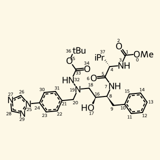 COC(=O)N[C@H](C(=O)N[C@@H](Cc1ccccc1)[C@@H](O)CN(Cc1ccc(-n2cncn2)cc1)NC(=O)OC(C)(C)C)C(C)C